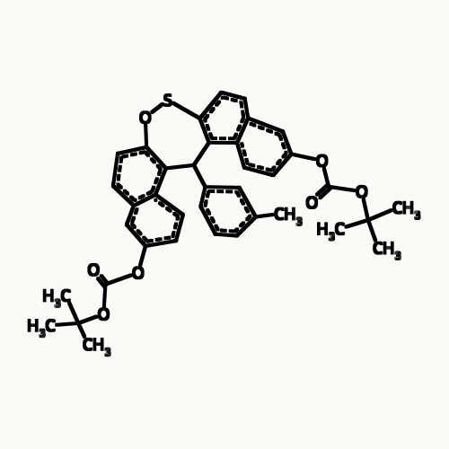 Cc1cccc(C2c3c(ccc4cc(OC(=O)OC(C)(C)C)ccc34)OSc3ccc4cc(OC(=O)OC(C)(C)C)ccc4c32)c1